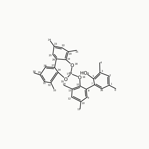 Cc1cc(C)c(O)c(-c2cc(C)cc(C)c2Op2oc3c(C)cc(C)cc3c3cc(C)cc(C)c3o2)c1